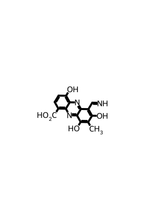 Cc1c(O)c(C=N)c2nc3c(O)ccc(C(=O)O)c3nc2c1O